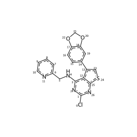 Clc1nc(NCc2ccccn2)c2c(-c3ccc4c(c3)OCO4)csc2n1